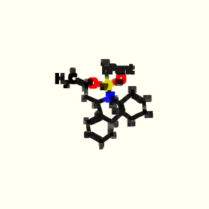 C=CCC1c2ccccc2C2=C(C=CCC2)N1S(=O)(=O)CCCCC